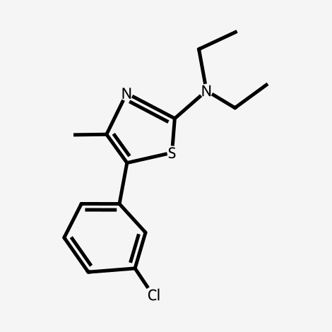 CCN(CC)c1nc(C)c(-c2cccc(Cl)c2)s1